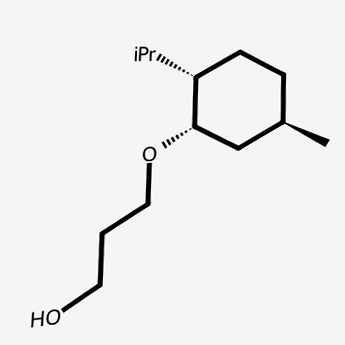 CC(C)[C@@H]1CC[C@@H](C)C[C@@H]1OCCCO